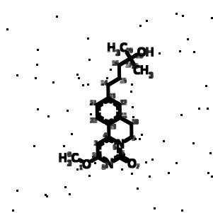 COc1cc2n(c(=O)n1)CCc1cc(CCCC(C)(C)O)ccc1-2